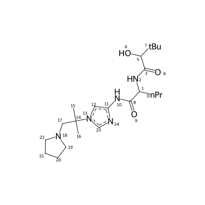 CCCC(NC(=O)C(O)C(C)(C)C)C(=O)Nc1cn(C(C)(C)CN2CCCC2)cn1